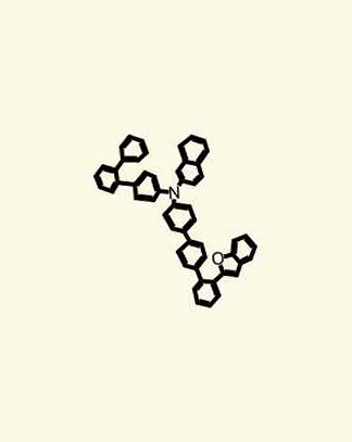 c1ccc(-c2ccccc2-c2ccc(N(c3ccc(-c4ccc(-c5ccccc5-c5cc6ccccc6o5)cc4)cc3)c3ccc4ccccc4c3)cc2)cc1